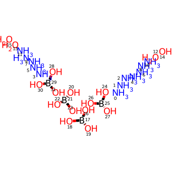 N.N.N.N.N.N.N.N.N.N.N.N.O.O.O.O.OB(O)O.OB(O)O.OB(O)O.OB(O)O